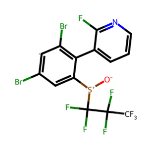 [O-][S+](c1cc(Br)[c]c(Br)c1-c1cccnc1F)C(F)(F)C(F)(F)C(F)(F)F